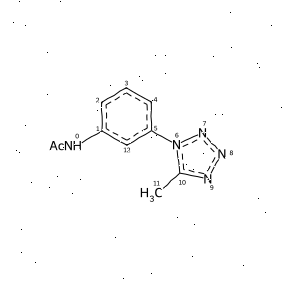 CC(=O)Nc1cccc(-n2nnnc2C)c1